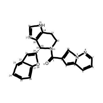 O=C(c1cc2cccnn2c1)N1CCc2[nH]cnc2[C@H]1c1cc2ccccc2o1